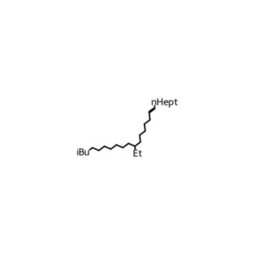 [CH2]CCCCCC/C=C/CCCCCC(CC)CCCCCCCC(C)C[CH2]